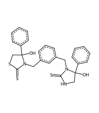 OC1(c2ccccc2)CNC(=S)N1Cc1cccc(CN2C(=S)SCC2(O)c2ccccc2)c1